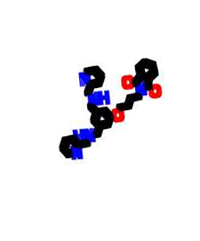 O=C1c2ccccc2C(=O)N1CCCCOc1cc(CNCc2ccccn2)cc(CNCc2ccccn2)c1